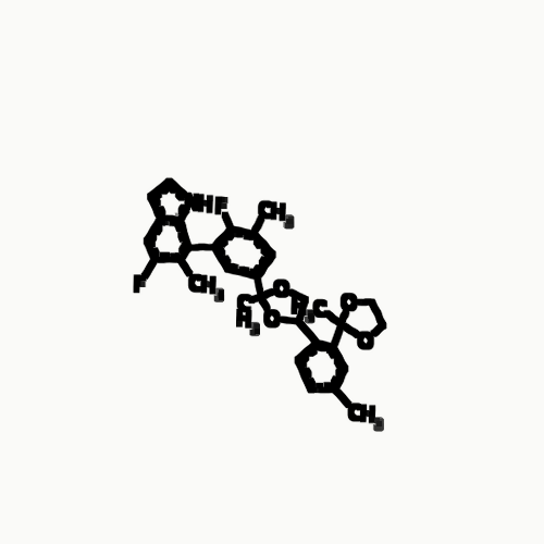 Cc1ccc(C2COC(C)(c3cc(C)c(F)c(-c4c(C)c(F)cc5cc[nH]c45)c3)O2)c(C2(C)OCCO2)c1